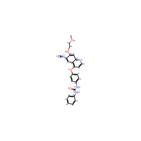 [C-]#[N+]c1cc2c(Oc3ccc(NC(=O)Nc4ccccc4)cc3)ccnc2cc1OCCOC